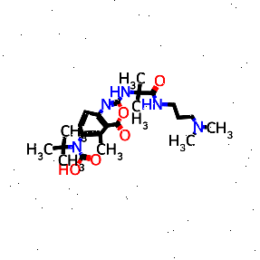 Cc1c(N(C(=O)O)C(C)(C)C)ccc2nc(NC(C)(C)C(=O)NCCCN(C)C)oc(=O)c12